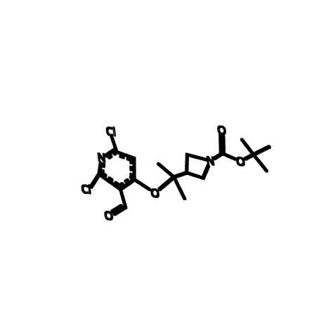 CC(C)(C)OC(=O)N1CC(C(C)(C)Oc2cc(Cl)nc(Cl)c2C=O)C1